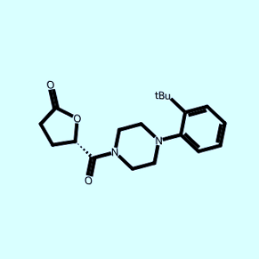 CC(C)(C)c1ccccc1N1CCN(C(=O)[C@@H]2CCC(=O)O2)CC1